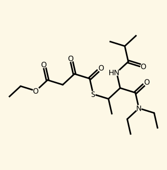 CCOC(=O)CC(=O)C(=O)SC(C)C(NC(=O)C(C)C)C(=O)N(CC)CC